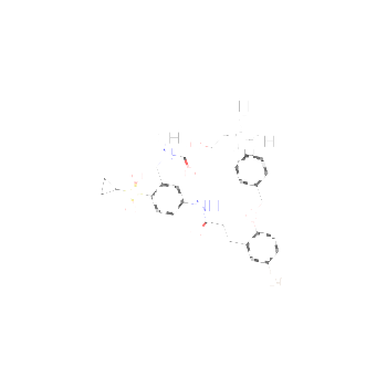 CN(Cc1cc(NC(=O)CCc2cc(Br)ccc2OCc2ccccc2)ccc1S(=O)(=O)C1CC1)C(=O)OCC[Si](C)(C)C